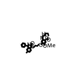 COc1cc2c(cc1OCCCCn1c(=O)nc(-c3ccccc3)c3cc(C)ccc31)N=C[C@@H]1CCCN1C2=O